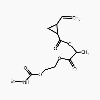 C=CC1CC1C(=O)OC(C)C(=O)OCCOC(=O)NCC